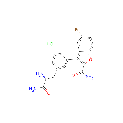 Cl.NC(=O)c1oc2ccc(Br)cc2c1-c1cccc(C[C@H](N)C(N)=O)c1